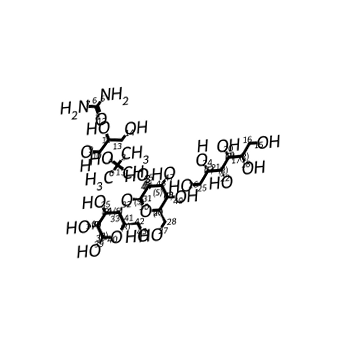 CC(C)(C)O.NC(N)=O.OCC(O)CO.OC[C@@H](O)[C@@H](O)[C@H](O)[C@@H](O)CO.OC[C@H]1O[C@@H](O[C@H]2[C@H](O)[C@@H](O)[C@H](O)O[C@@H]2CO)[C@H](O)[C@@H](O)[C@H]1O